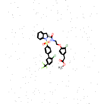 COC(=O)Cc1ccc(OCCNC(=O)[C@@H]2Cc3ccccc3N2S(=O)(=O)c2ccc(-c3cc(C(F)(F)F)ccc3Cl)cc2)c(Cl)c1